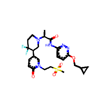 CC(C(=O)Nc1ccc(OCC2CC2)nn1)N1CCC(F)(F)C(c2ccc(=O)n(CCS(C)(=O)=O)c2)C1